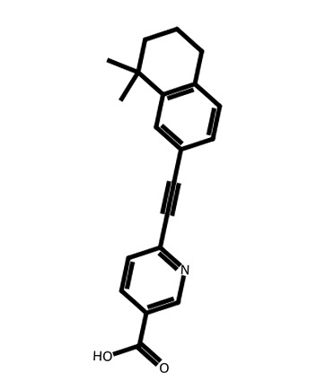 CC1(C)CCCc2ccc(C#Cc3ccc(C(=O)O)cn3)cc21